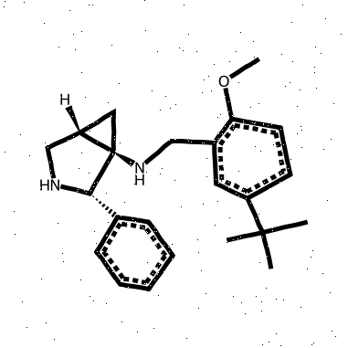 COc1ccc(C(C)(C)C)cc1CN[C@]12C[C@H]1CN[C@H]2c1ccccc1